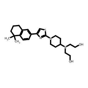 CC1(C)CCCc2cc(-c3csc(N4CCC(N(CCO)CCO)CC4)n3)ccc21